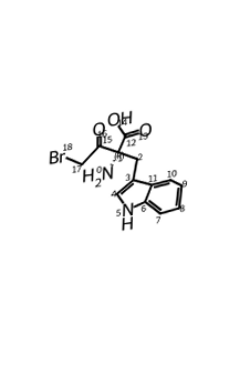 N[C@@](Cc1c[nH]c2ccccc12)(C(=O)O)C(=O)CBr